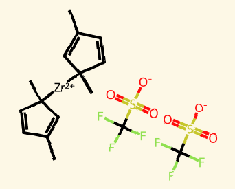 CC1=C[C](C)([Zr+2][C]2(C)C=CC(C)=C2)C=C1.O=S(=O)([O-])C(F)(F)F.O=S(=O)([O-])C(F)(F)F